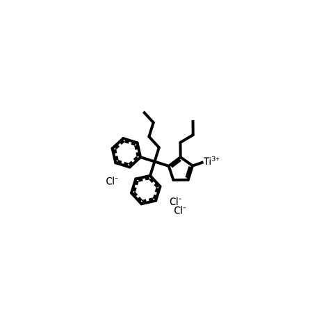 CCCCC(C1=C(CCC)[C]([Ti+3])=CC1)(c1ccccc1)c1ccccc1.[Cl-].[Cl-].[Cl-]